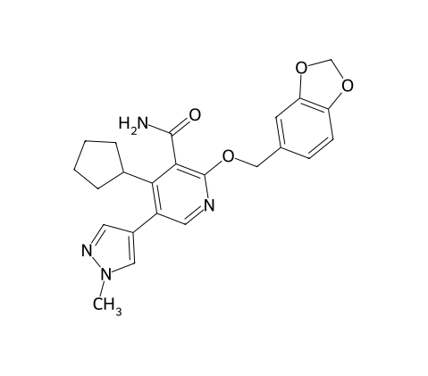 Cn1cc(-c2cnc(OCc3ccc4c(c3)OCO4)c(C(N)=O)c2C2CCCC2)cn1